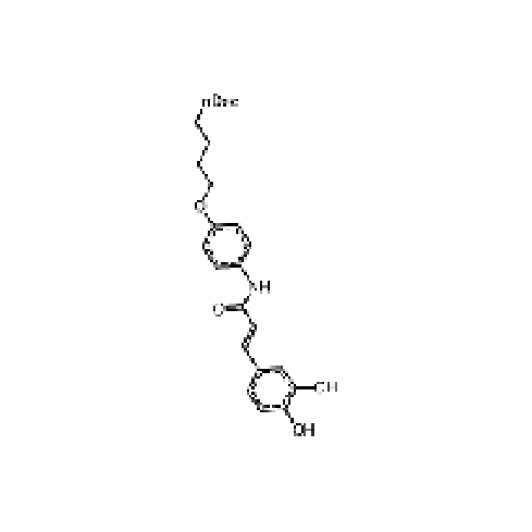 CCCCCCCCCCCCCCOc1ccc(NC(=O)C=Cc2ccc(O)c(O)c2)cc1